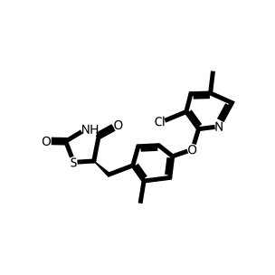 Cc1cnc(Oc2ccc(C[C@H]3SC(=O)NC3=O)c(C)c2)c(Cl)c1